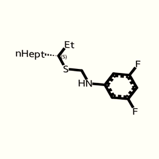 CCCCCCC[C@H](CC)SCNc1cc(F)cc(F)c1